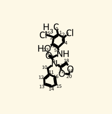 Cc1c(Cl)cc(NC(=O)N(Cc2ccccc2)C2=COCO2)c(O)c1Cl